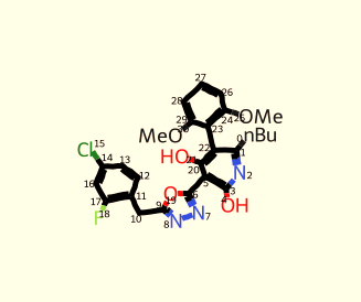 CCCCc1nc(O)c(-c2nnc(Cc3ccc(Cl)cc3F)o2)c(O)c1-c1c(OC)cccc1OC